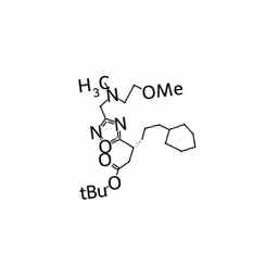 COCCN(C)Cc1noc([C@H](CCCC2CCCCC2)CC(=O)OC(C)(C)C)n1